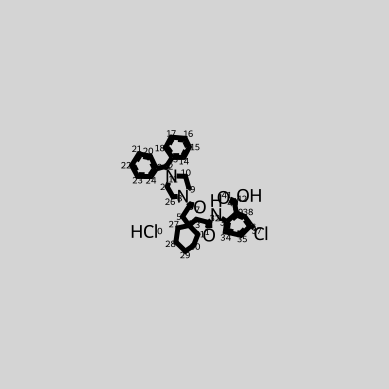 Cl.O=C(CC1(CC(=O)N2CCN(C(c3ccccc3)c3ccccc3)CC2)CCCCC1)Nc1ccc(Cl)cc1C(=O)O